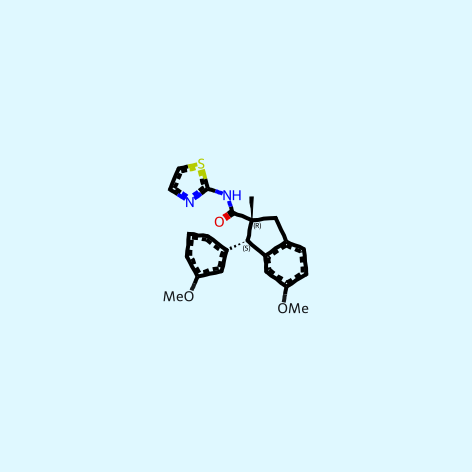 COc1cccc([C@H]2c3cc(OC)ccc3C[C@@]2(C)C(=O)Nc2nccs2)c1